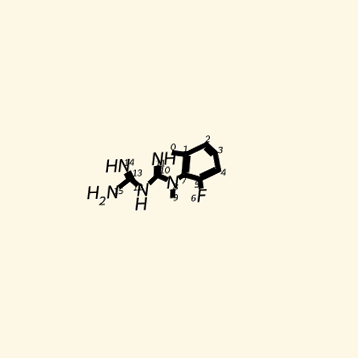 Cc1cccc(F)c1N(C)C(=N)NC(=N)N